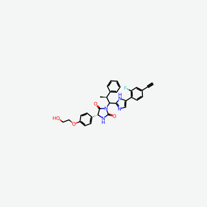 C#Cc1ccc(-c2cnc(C([C@@H](C)c3ccccc3)N3C(=O)N[C@H](c4ccc(OCCO)cc4)C3=O)[nH]2)c(F)c1